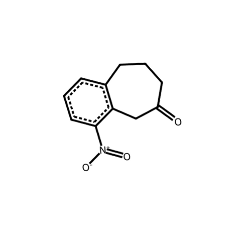 O=C1CCCc2cccc([N+](=O)[O-])c2C1